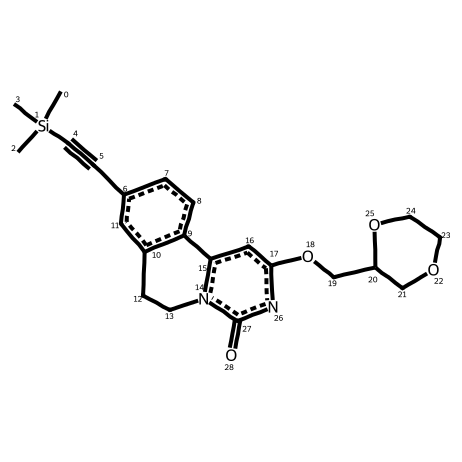 C[Si](C)(C)C#Cc1ccc2c(c1)CCn1c-2cc(OCC2COCCO2)nc1=O